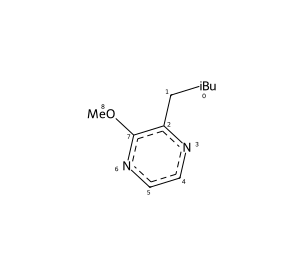 CCC(C)Cc1nccnc1OC